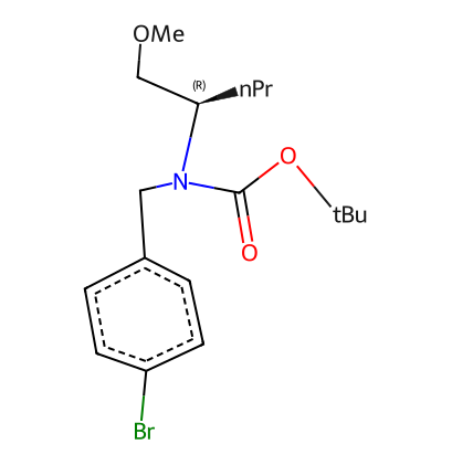 CCC[C@H](COC)N(Cc1ccc(Br)cc1)C(=O)OC(C)(C)C